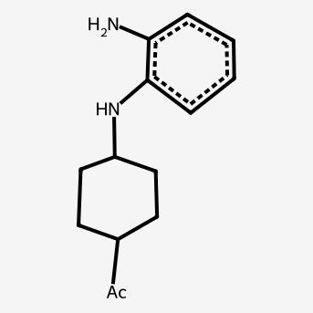 CC(=O)C1CCC(Nc2ccccc2N)CC1